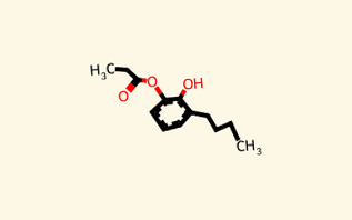 CCCCc1cccc(OC(=O)CC)c1O